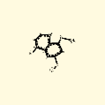 COc1cc(OC)c2nccc(Br)c2c1